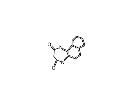 O=C1CC(=O)N=c2c(ccc3ccccc23)=N1